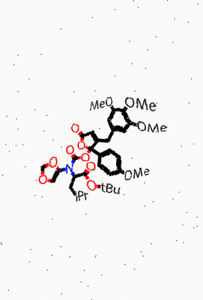 COc1ccc(C2(OC(=O)N(C3=COCO3)C(CC(C)C)C(=O)OC(C)(C)C)OC(=O)C=C2Cc2cc(OC)c(OC)c(OC)c2)cc1